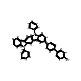 Brc1ccc(-c2ccc(-c3ccc4c(c3)c3cc5c(cc3n4-c3ccccc3)c3ccccc3n5-c3ccccc3)cc2)cc1